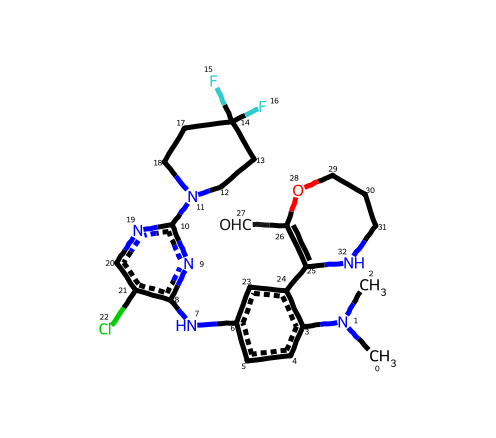 CN(C)c1ccc(Nc2nc(N3CCC(F)(F)CC3)ncc2Cl)cc1C1=C(C=O)OCCCN1